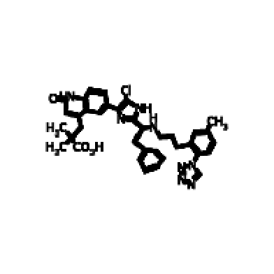 Cc1ccc(-n2cnnn2)c(CCCNC(Cc2ccccc2)c2nc(-c3ccc4[nH]c(=O)cc(CC(C)(C)C(=O)O)c4c3)c(Cl)[nH]2)c1